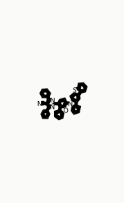 N#Cc1c(-c2ccccc2)nc(-c2ccc(-n3c4ccccc4c4cc5c(cc43)sc3ccccc35)c3oc4ccccc4c23)nc1-c1ccccc1